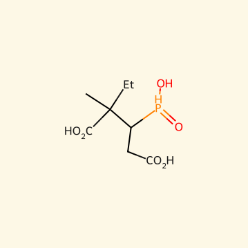 CCC(C)(C(=O)O)C(CC(=O)O)[PH](=O)O